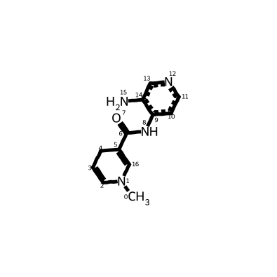 CN1C=CCC(C(=O)Nc2ccncc2N)=C1